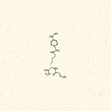 CCCNc1ccc(C(=O)NCCCC[C@H](NC(=O)COCCC)C(N)=O)cc1